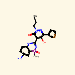 COP1(=O)N=C(c2c(O)c(-c3ccsc3)nn(CCC(C)(C)C)c2=O)Nc2ccc(N)cc21